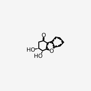 O=C1C[C@H](O)[C@H](O)c2oc3ccccc3c21